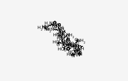 CC(C)C[C@H](NC(=O)[C@H](CCC(N)=O)NC(=O)[C@H](Cc1ccccc1)NC(=O)[C@H](Cc1c[nH]cn1)NC(=O)[C@H](CCC(=O)O)NC(=O)[C@H](CCC(=O)O)NC(=O)[C@H](CCCCN)NC(=O)[C@@H](NC(=O)[C@@H](NC(=O)[C@H](CCCCN)NC(=O)[C@@H]1CCCN1C(=O)[C@@H]1CCCN1C(=O)[C@@H](N)CCCNC(=N)N)C(C)C)[C@@H](C)O)C(=O)N[C@@H](Cc1c[nH]cn1)C(=O)N[C@@H](Cc1c[nH]cn1)C(=O)O